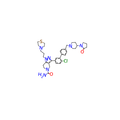 NC(=O)N1CCc2c(c(-c3ccc(Cl)c(-c4ccc(CN5CCC(N6CCCC6=O)CC5)cc4)c3)nn2CCCN2CCSCC2)C1